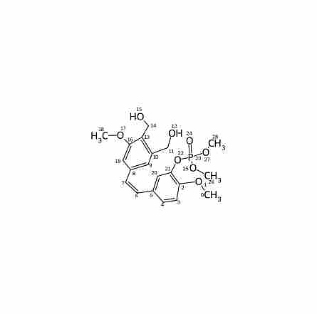 COc1ccc(/C=C\c2cc(CO)c(CO)c(OC)c2)cc1OP(=O)(OC)OC